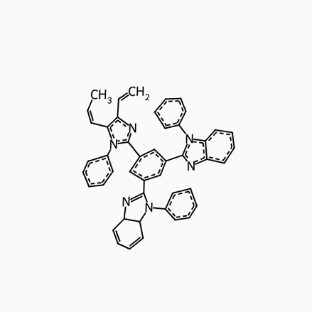 C=Cc1nc(-c2cc(C3=NC4C=CC=CC4N3c3ccccc3)cc(-c3nc4ccccc4n3-c3ccccc3)c2)n(-c2ccccc2)c1/C=C\C